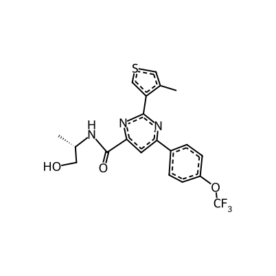 Cc1cscc1-c1nc(C(=O)N[C@@H](C)CO)cc(-c2ccc(OC(F)(F)F)cc2)n1